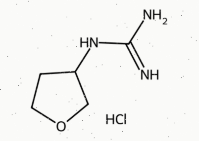 Cl.N=C(N)NC1CCOC1